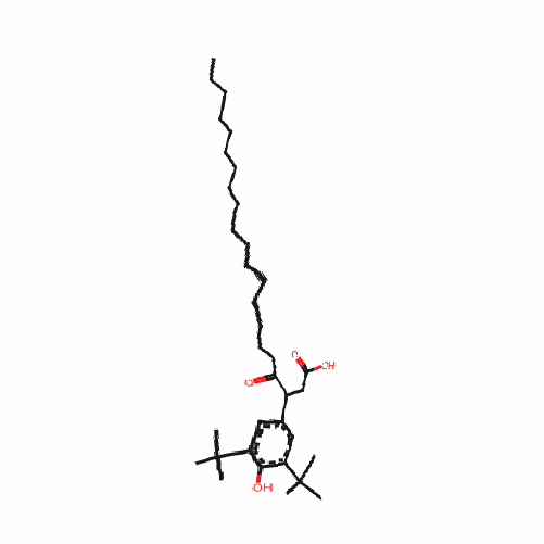 CCCCCCCCCCCCCCCCCC(=O)C(CC(=O)O)c1cc(C(C)(C)C)c(O)c(C(C)(C)C)c1